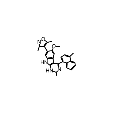 COc1cc2c3c([nH]c2cc1-c1c(C)noc1C)NC(C)N=C3c1ccc(C)c2ccccc12